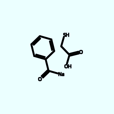 O=C(O)CS.O=[C]([Na])c1ccccc1